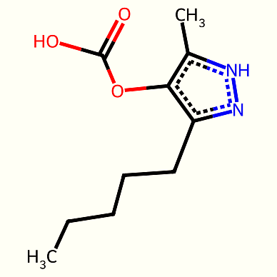 CCCCCc1n[nH]c(C)c1OC(=O)O